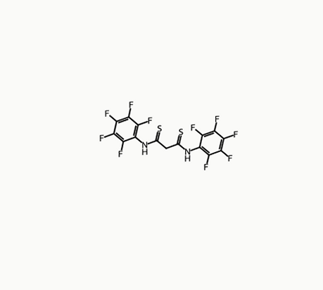 Fc1c(F)c(F)c(NC(=S)CC(=S)Nc2c(F)c(F)c(F)c(F)c2F)c(F)c1F